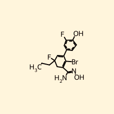 CCCC1(F)C=C(c2ccc(O)c(F)c2)C(Br)=C(C(N)=NO)C1